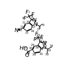 CC(C)n1nc(C(F)(F)F)c2cc(C#N)ccc21.CC(C)n1nc(C(F)(F)F)c2cc(C(=O)O)ccc21